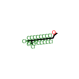 ClC(Cl)(Cl)C(Cl)(C(Cl)(Cl)Cl)C(Cl)(Cl)C(Cl)(Cl)C(Cl)(Cl)C(Cl)(Cl)C(Cl)(Cl)C(Cl)(Cl)CC1CO1